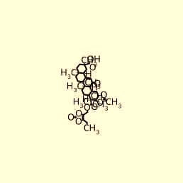 CCc1oc(=O)oc1COC(=O)[C@@]1(C)[C@@H]2CC[C@]3(C)[C@H](C(=O)C=C4[C@@H]5C[C@@](C)(C(=O)O)CC[C@]5(C)CC[C@]43C)[C@@]2(C)CC[C@@]1(C)OC(C)=O